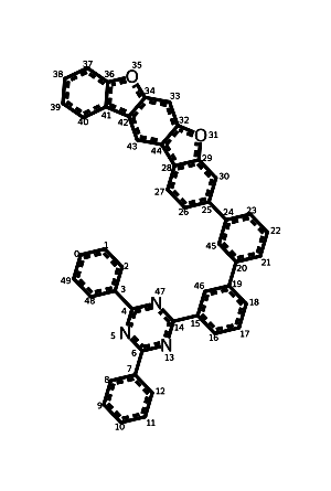 c1ccc(-c2nc(-c3ccccc3)nc(-c3cccc(-c4cccc(-c5ccc6c(c5)oc5cc7oc8ccccc8c7cc56)c4)c3)n2)cc1